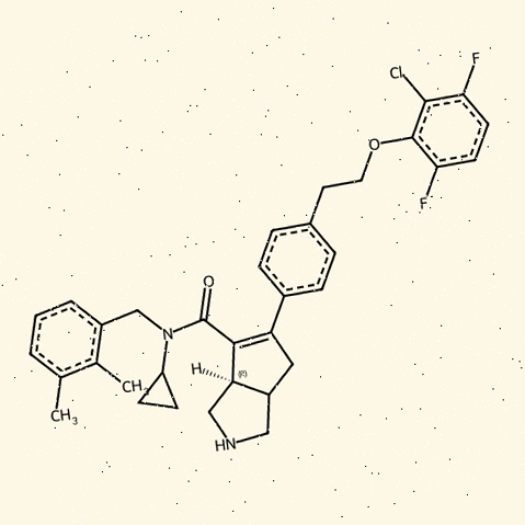 Cc1cccc(CN(C(=O)C2=C(c3ccc(CCOc4c(F)ccc(F)c4Cl)cc3)CC3CNC[C@@H]23)C2CC2)c1C